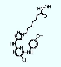 COc1ccc(Nc2nc(Nc3cnn(CCCCCCC(=O)NO)c3)ncc2Cl)cc1